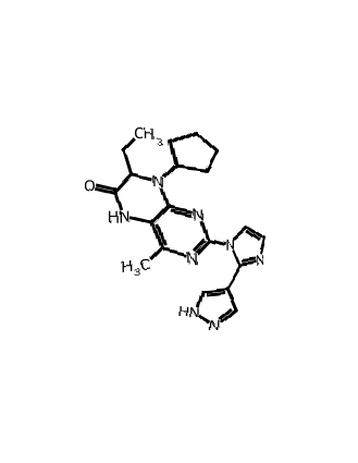 CCC1C(=O)Nc2c(C)nc(-n3ccnc3-c3cn[nH]c3)nc2N1C1CCCC1